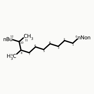 CCCCCCCCCCCCCCCCC(C)[C](C)CCCC